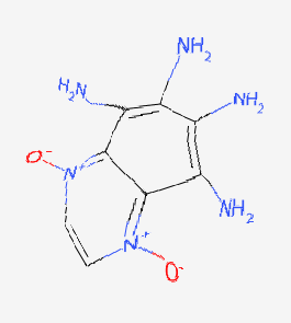 Nc1c(N)c(N)c2c(c1N)[n+]([O-])cc[n+]2[O-]